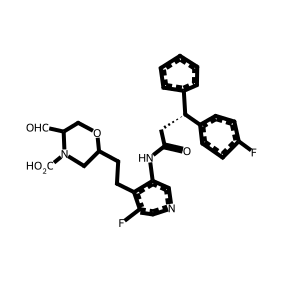 O=CC1COC(CCc2c(F)cncc2NC(=O)C[C@H](c2ccccc2)c2ccc(F)cc2)CN1C(=O)O